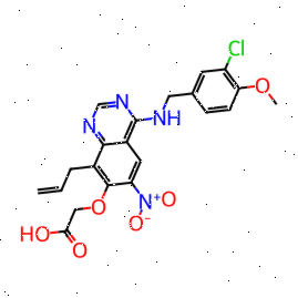 C=CCc1c(OCC(=O)O)c([N+](=O)[O-])cc2c(NCc3ccc(OC)c(Cl)c3)ncnc12